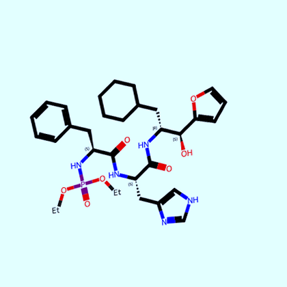 CCOP(=O)(N[C@@H](Cc1ccccc1)C(=O)N[C@@H](Cc1c[nH]cn1)C(=O)N[C@H](CC1CCCCC1)[C@H](O)c1ccco1)OCC